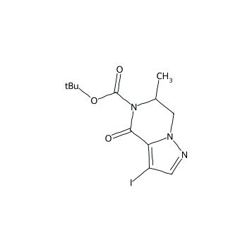 CC1Cn2ncc(I)c2C(=O)N1C(=O)OC(C)(C)C